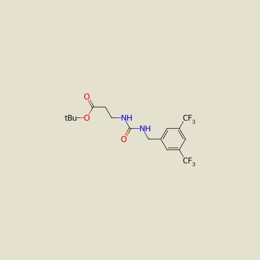 CC(C)(C)OC(=O)CCNC(=O)NCc1cc(C(F)(F)F)cc(C(F)(F)F)c1